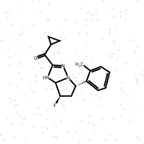 Cc1ccccc1[C@@H]1C[C@@H](F)C2NC(C(=O)C3CC3)=NN21